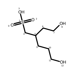 O=S(=O)(O)C[C](CCO)CCCO